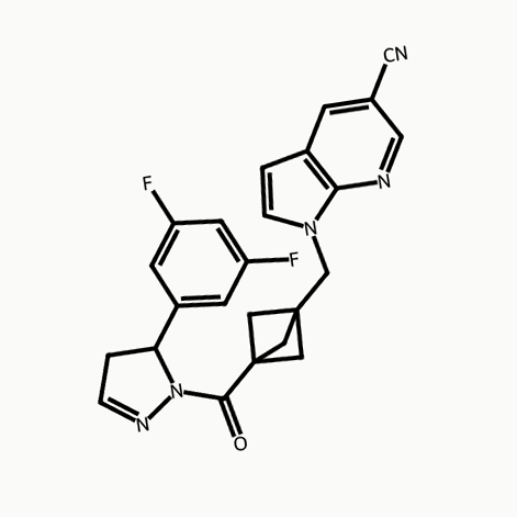 N#Cc1cnc2c(ccn2CC23CC(C(=O)N4N=CCC4c4cc(F)cc(F)c4)(C2)C3)c1